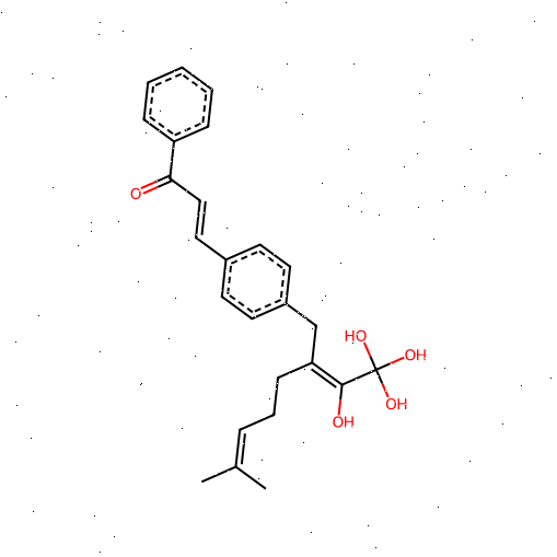 CC(C)=CCC/C(Cc1ccc(C=CC(=O)c2ccccc2)cc1)=C(\O)C(O)(O)O